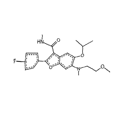 CNC(=O)c1c(-c2ccc(F)cc2)oc2cc(N(C)CCOC)c(OC(C)C)cc12